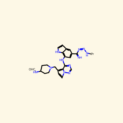 CC(C)N/N=N\C(=N)c1cc(Nc2ncnn3ccc(CN4CCC(NC=O)CC4)c23)c2[nH]ccc2c1